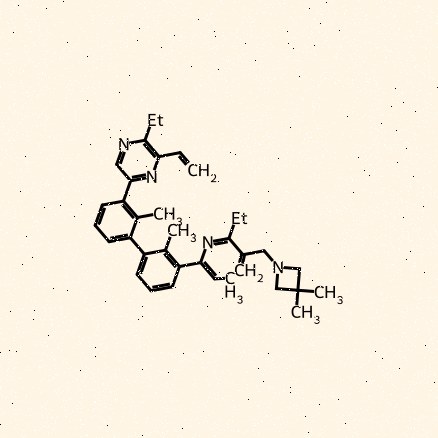 C=Cc1nc(-c2cccc(-c3cccc(C(=C/C)/N=C(/CC)C(=C)CN4CC(C)(C)C4)c3C)c2C)cnc1CC